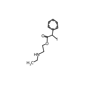 CCNCCOC(=O)C(I)c1ccccc1